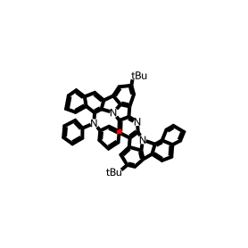 CC(C)(C)c1cc2c3cc4ccccc4c(N(c4ccccc4)c4ccccc4)c3n3c4cc5c6cc(C(C)(C)C)cc7c8ccc9ccccc9c8n(c5nc4c(c1)c23)c67